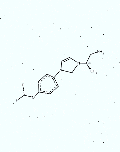 C[C@H](CN)N1C=CN(c2ccc(OC(F)F)cc2)C1